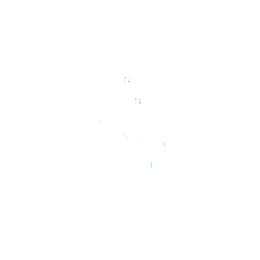 COc1cc2nccn2cc1SC(C)(C)C(F)F